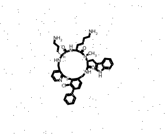 CN1C(=O)C(CCCCN)NC(=O)[C@@H](CCCN)NCc2cccnc2Sc2c(ccc(-c3ccccc3)c2Cl)CNC(=O)C1Cc1c[nH]c2ccccc12